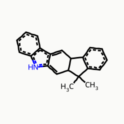 CC1(C)c2ccccc2C2C=c3c([nH]c4ccccc34)=CC21